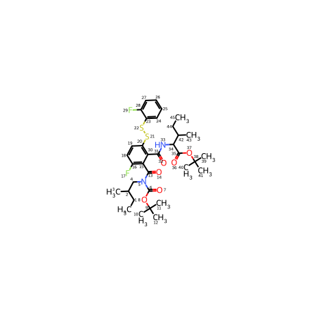 CCC(C)CN(C(=O)OC(C)(C)C)C(=O)c1c(F)ccc(SSc2ccccc2F)c1C(=O)NC(C(=O)OC(C)(C)C)C(C)CC